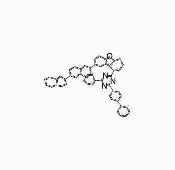 c1ccc(-c2ccc(-c3nc(-c4ccccc4)nc(-c4cccc5oc6ccc(-c7ccc8cc(-c9ccc%10ccccc%10c9)ccc8c7)cc6c45)n3)cc2)cc1